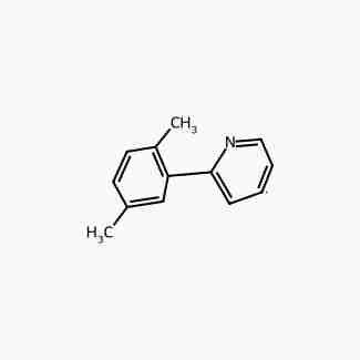 Cc1ccc(C)c(-c2c[c]ccn2)c1